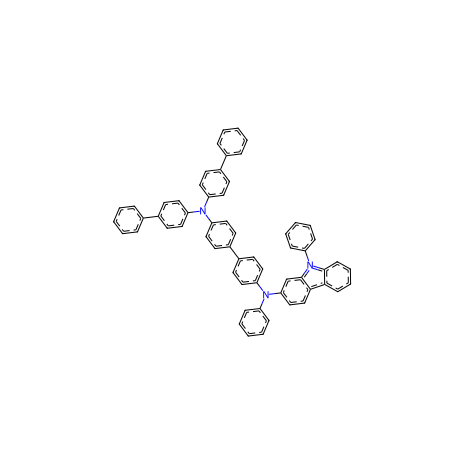 c1ccc(-c2ccc(N(c3ccc(-c4ccccc4)cc3)c3ccc(-c4ccc(N(c5ccccc5)c5ccc6c7ccccc7n(-c7ccccc7)c6c5)cc4)cc3)cc2)cc1